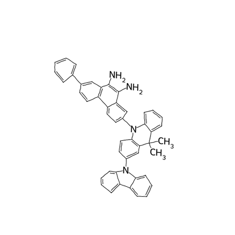 CC1(C)c2ccccc2N(c2ccc3c(c2)c(N)c(N)c2cc(-c4ccccc4)ccc23)c2ccc(-n3c4ccccc4c4ccccc43)cc21